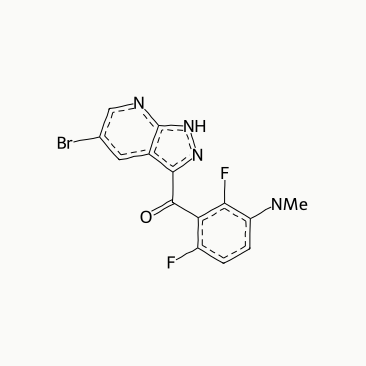 CNc1ccc(F)c(C(=O)c2n[nH]c3ncc(Br)cc23)c1F